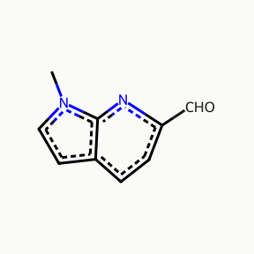 Cn1ccc2ccc(C=O)nc21